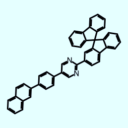 c1ccc2c(c1)-c1ccccc1C21c2ccccc2-c2ccc(-c3ncc(-c4ccc(-c5ccc6ccccc6c5)cc4)cn3)cc21